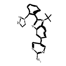 CC(C)(C)n1c(-c2ccccc2N2CCNN2)nc2cc(-c3cnc(N)nc3)ccc21